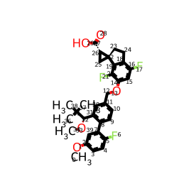 COc1ccc(F)c(-c2ccc(COc3cc(F)c4c(c3F)[C@]3(CC4)C[C@@H]3C(=O)O)cc2[C@H](OC)C(C)(C)C)c1